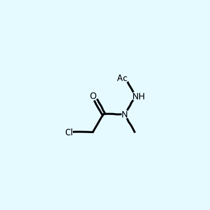 CC(=O)NN(C)C(=O)CCl